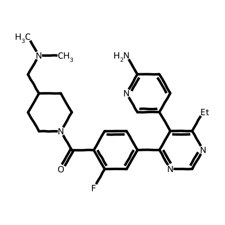 CCc1ncnc(-c2ccc(C(=O)N3CCC(CN(C)C)CC3)c(F)c2)c1-c1ccc(N)nc1